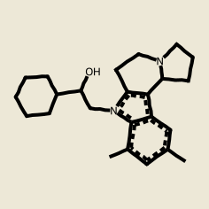 Cc1cc(C)c2c(c1)c1c(n2CC(O)C2CCCCC2)CCN2CCCC12